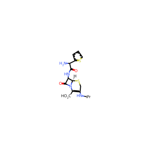 CC(C)NC1=C(C(=O)O)N2C(=O)C(NC(=O)C(N)c3cccs3)[C@H]2SC1